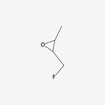 CC1OC1CF